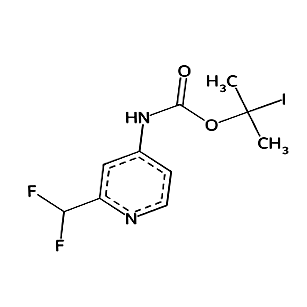 CC(C)(I)OC(=O)Nc1ccnc(C(F)F)c1